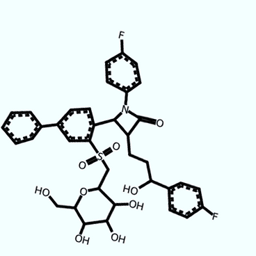 O=C1C(CCC(O)c2ccc(F)cc2)C(c2ccc(-c3ccccc3)cc2S(=O)(=O)CC2OC(CO)C(O)C(O)C2O)N1c1ccc(F)cc1